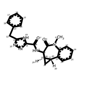 CN1C(=O)C(NC(=O)c2nnc(Cc3ccccc3)[nH]2)[C@@H]2C[C@H]2c2ccccc21